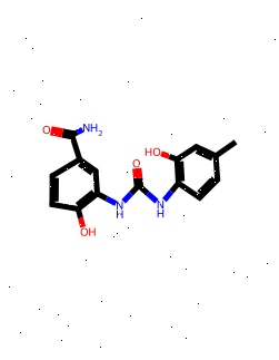 Cc1ccc(NC(=O)Nc2cc(C(N)=O)ccc2O)c(O)c1